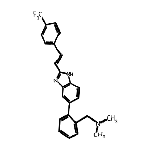 CN(C)Cc1ccccc1-c1ccc2[nH]c(C=Cc3ccc(C(F)(F)F)cc3)nc2c1